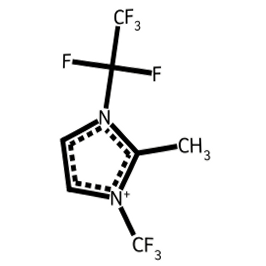 Cc1n(C(F)(F)C(F)(F)F)cc[n+]1C(F)(F)F